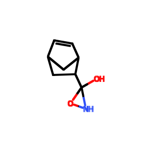 OC1(C2CC3C=CC2C3)NO1